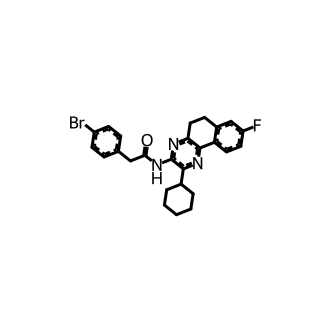 O=C(Cc1ccc(Br)cc1)Nc1nc2c(nc1C1CCCCC1)-c1ccc(F)cc1CC2